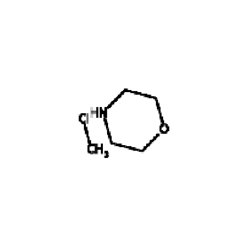 C1COCCN1.CCl